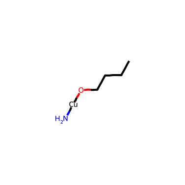 CCCC[O][Cu][NH2]